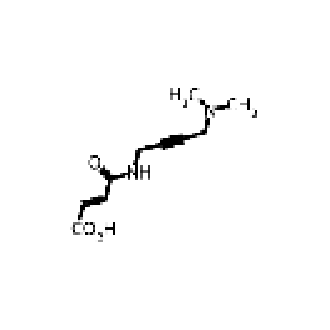 CN(C)CC#CCNC(=O)C=CC(=O)O